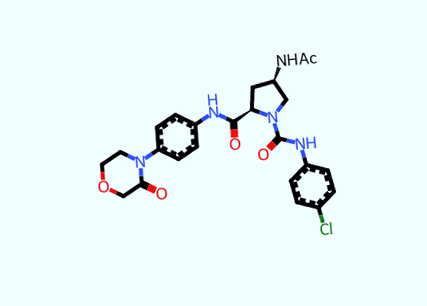 CC(=O)N[C@@H]1C[C@H](C(=O)Nc2ccc(N3CCOCC3=O)cc2)N(C(=O)Nc2ccc(Cl)cc2)C1